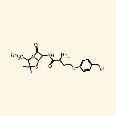 CC1(C)SC2C(NC(=O)C(N)CCOc3ccc(CCl)cc3)C(=O)N2C1C(=O)O